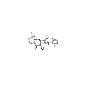 C[C@H]1CCc2c1cc(C(=O)Nc1nccs1)c(=O)n2C